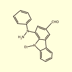 CCn1c2ccccc2c2cc(C=O)cc(N(N)c3ccccc3)c21